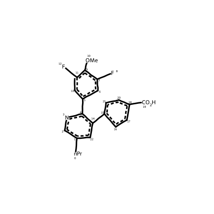 CCCc1cnc(-c2cc(F)c(OC)c(F)c2)c(-c2ccc(C(=O)O)cc2)c1